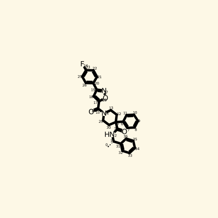 C[C@H](NC(=O)C1(c2ccccc2)CCN(C(=O)c2cc(-c3ccc(F)cc3)no2)CC1)c1ccccc1